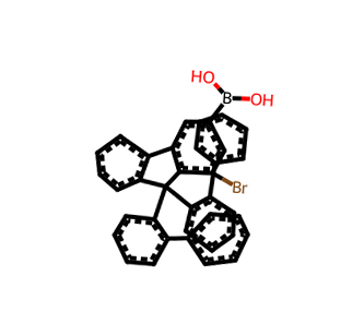 OB(O)c1cc(Br)c2c(c1)-c1ccccc1C2(c1ccccc1-c1ccccc1)c1ccccc1-c1ccccc1